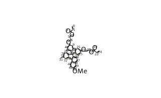 C=CC(=O)OCCOc1ccc(C2(c3ccc(OCCOC(=O)C=C)cc3)c3ccc(C)cc3-c3c2ccc2cc(OC)ccc32)cc1